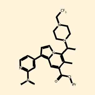 Cc1c(C(=O)OC(C)C)cc2c(-c3ccnc(N(C)C)c3)ccn2c1C(C)N1CCN(CC(F)(F)F)CC1